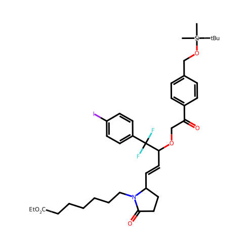 CCOC(=O)CCCCCCN1C(=O)CCC1C=CC(OCC(=O)c1ccc(CO[Si](C)(C)C(C)(C)C)cc1)C(F)(F)c1ccc(I)cc1